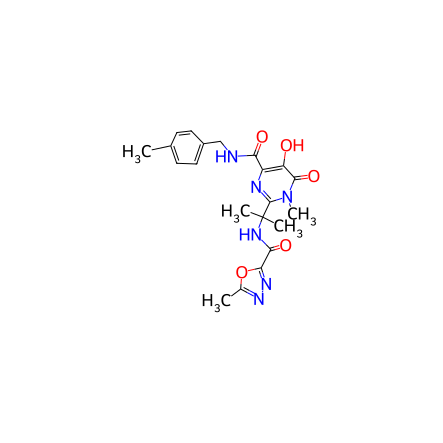 Cc1ccc(CNC(=O)c2nc(C(C)(C)NC(=O)c3nnc(C)o3)n(C)c(=O)c2O)cc1